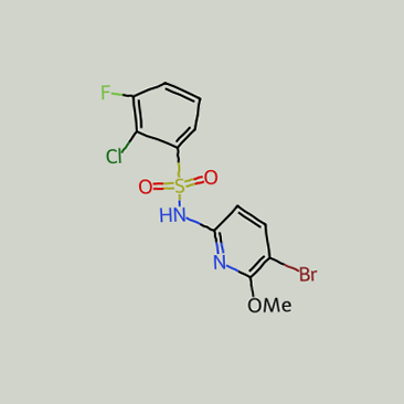 COc1nc(NS(=O)(=O)c2cccc(F)c2Cl)ccc1Br